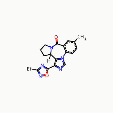 CCc1noc(-c2ncn3c2[C@@H]2CCCN2C(=O)c2cc(C)ccc2-3)n1